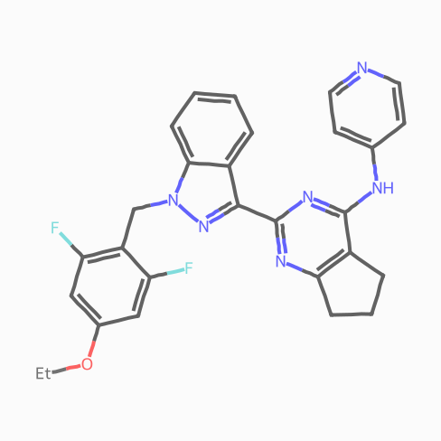 CCOc1cc(F)c(Cn2nc(-c3nc4c(c(Nc5ccncc5)n3)CCC4)c3ccccc32)c(F)c1